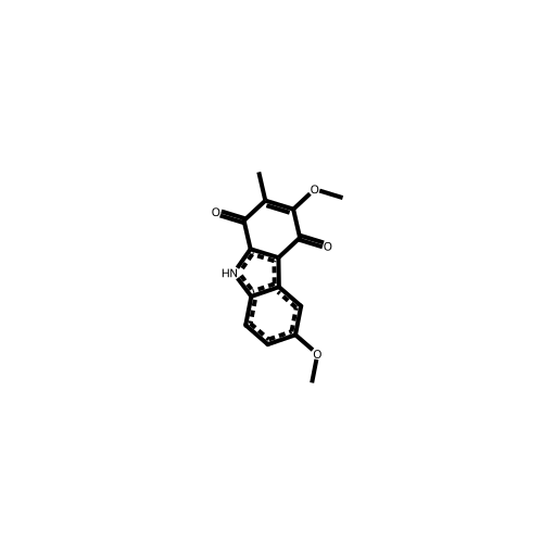 COC1=C(C)C(=O)c2[nH]c3ccc(OC)cc3c2C1=O